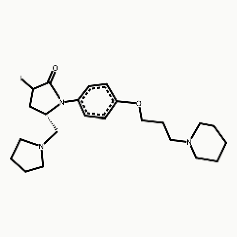 O=C1C(I)C[C@@H](CN2CCCC2)N1c1ccc(OCCCN2CCCCC2)cc1